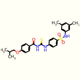 Cc1cc(C)cc(NS(=O)(=O)c2ccc(NC(=S)NC(=O)c3ccc(OCC(C)C)cc3)cc2)c1